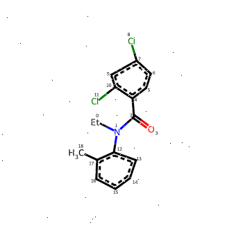 CCN(C(=O)c1ccc(Cl)cc1Cl)c1ccccc1C